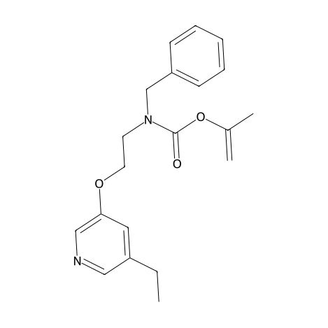 C=C(C)OC(=O)N(CCOc1cncc(CC)c1)Cc1ccccc1